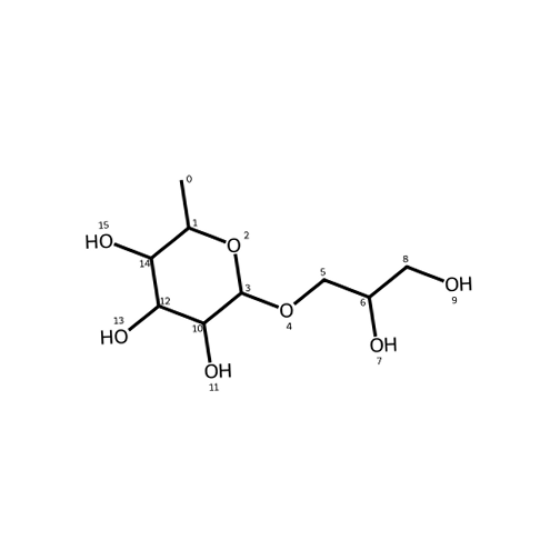 CC1OC(OCC(O)CO)C(O)C(O)C1O